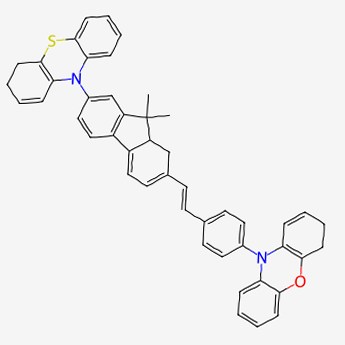 CC1(C)c2cc(N3C4=C(CCC=C4)Sc4ccccc43)ccc2C2=CC=C(/C=C/c3ccc(N4C5=C(CCC=C5)Oc5ccccc54)cc3)CC21